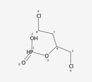 O=[PH](O)OC(CCl)CCCl